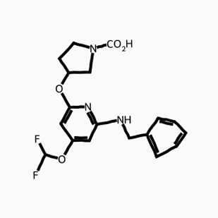 O=C(O)N1CCC(Oc2cc(OC(F)F)cc(NCc3ccccc3)n2)C1